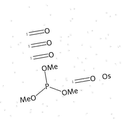 COP(OC)OC.[C]=O.[C]=O.[C]=O.[C]=O.[Os]